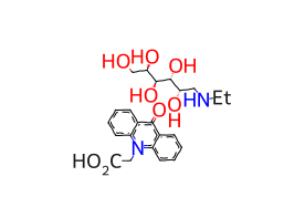 CCNC[C@H](O)[C@@H](O)[C@@H](O)[C@H](O)CO.O=C(O)Cn1c2ccccc2c(=O)c2ccccc21